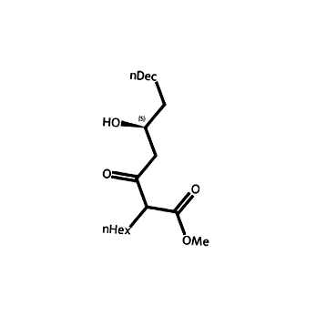 CCCCCCCCCCC[C@H](O)CC(=O)C(CCCCCC)C(=O)OC